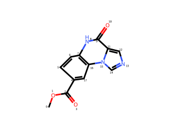 COC(=O)c1ccc2[nH]c(=O)c3cncn3c2c1